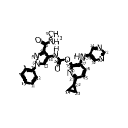 CNC(=O)c1nn(-c2ccccc2)cc1NC(=O)Oc1nc(C2CC2)ccc1Nc1cncnc1